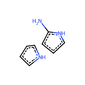 Nc1ccc[nH]1.c1cc[nH]c1